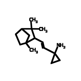 CC12CCC(C1)C(C)(C)C2C=CC1(N)CC1